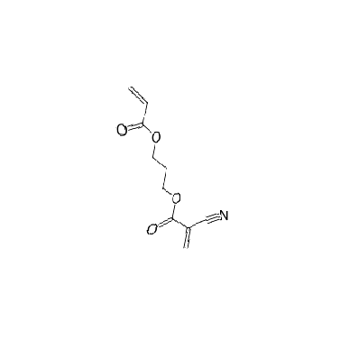 C=CC(=O)OCCCOC(=O)C(=C)C#N